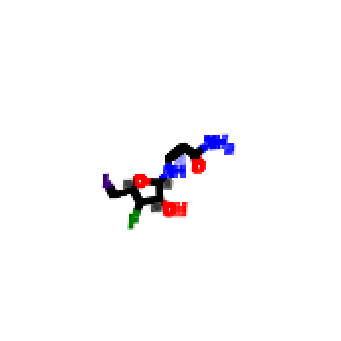 NC(=O)/C=C\N[C@@H]1O[C@H](CI)C(F)[C@H]1O